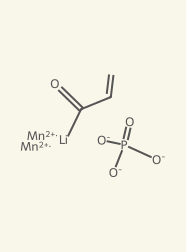 O=P([O-])([O-])[O-].[Li][C](=O)C=C.[Mn+2].[Mn+2]